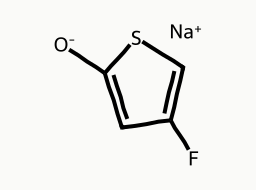 [Na+].[O-]c1cc(F)cs1